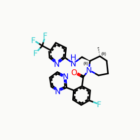 C[C@@H]1CCCN(C(=O)c2cc(F)ccc2-c2ncccn2)[C@H]1CNc1ccc(C(F)(F)F)cn1